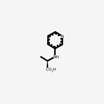 C[C@@H](Nc1cccnc1)C(=O)O